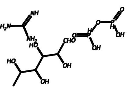 CC(O)C(O)C(O)C(O)C=O.N=C(N)N.O=[PH](O)O[PH](=O)O